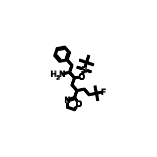 CC(C)(F)CCC(CC(O[Si](C)(C)C(C)(C)C)C(N)Cc1ccccc1)C1=NCCO1